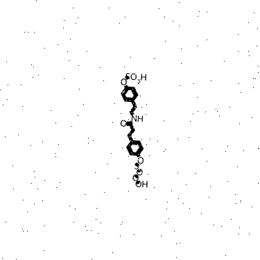 O=C(CCc1ccc(OSOOO)cc1)NCCc1ccc(OS(=O)(=O)O)cc1